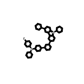 Fc1ccc(N(c2ccccc2)c2ccc(-c3cccc(-c4ccc5c(c4)c4cc(-c6ccccc6)ccc4n5-c4ccccc4)c3)cc2)cc1